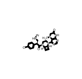 CC(C)NC[C@@H](C(=O)N1CCN(c2ncnc3c2N(C)CC(=O)N3)[C@H]2C=C[C@H]21)c1ccc(Cl)cc1